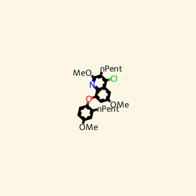 CCCCCc1cc(OC)ccc1Oc1cc(OC)cc2c(Cl)c(CCCCC)c(OC)nc12